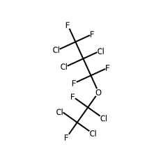 FC(F)(Cl)C(Cl)(Cl)C(F)(F)OC(F)(Cl)C(F)(Cl)Cl